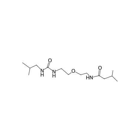 CC(C)CNC(=O)NCCOCCNC(=O)CC(C)C